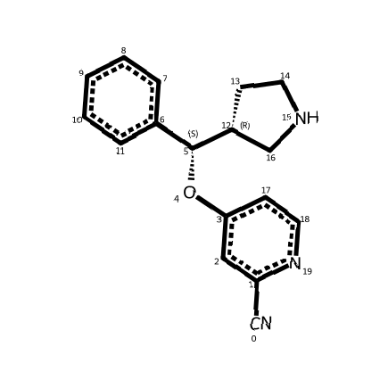 N#Cc1cc(O[C@H](c2ccccc2)[C@@H]2CCNC2)ccn1